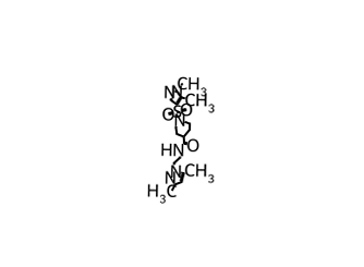 Cc1cc(C)n(CCNC(=O)C2CCN(S(=O)(=O)c3cnn(C)c3C)CC2)n1